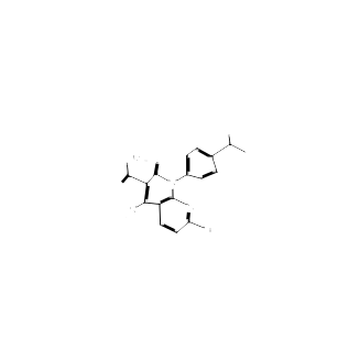 COC(=O)c1c(N)c2ccc(Br)nc2n(-c2ccc(C(C)O)cc2)c1=O